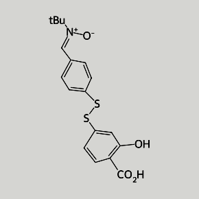 CC(C)(C)[N+]([O-])=Cc1ccc(SSc2ccc(C(=O)O)c(O)c2)cc1